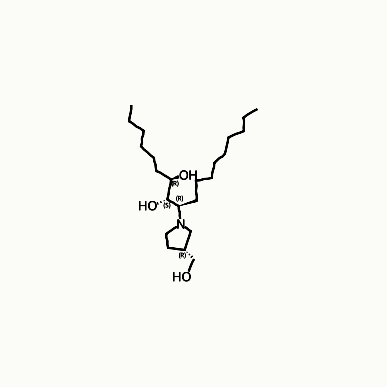 CCCCCCCCC[C@H]([C@H](O)[C@H](O)CCCCCC)N1CC[C@@H](CO)C1